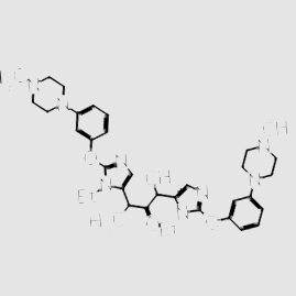 CCn1c(C(C)C(=O)C(C)c2cnc(Oc3cccc(N4CCN(C)CC4)c3)n2CC)cnc1Oc1cccc(N2CCN(C)CC2)c1